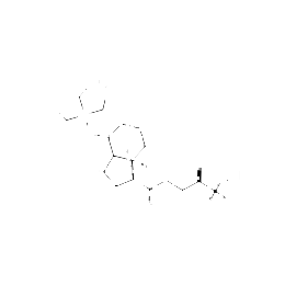 CC[Si](CC)(CC)O[C@H]1CCC[C@@]2(C)C1CC[C@@H]2C(C)CCC(=O)C(C)(C)C